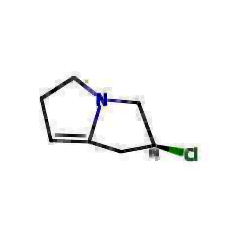 Cl[C@H]1CC2=CCCN2C1